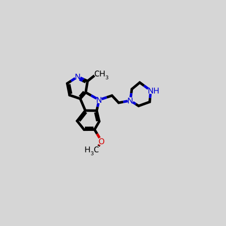 COc1ccc2c3ccnc(C)c3n(CCN3CCNCC3)c2c1